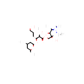 CC[C@@H](C)CN(C)C(C)C(O)C(C)(O)COC(=O)C(C)[C@H](CCCO)O[C@H]1CC(C)CC(C)O1